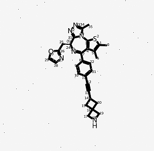 Cc1sc2c(c1C)C(c1ccc(C#CC3CC4(CNC4)C3)cc1)=N[C@@H](Cc1ncco1)c1nnc(C)n1-2